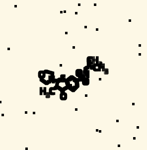 CC(C(=O)c1ccc(S(=O)(=O)/N=C/N(C)C)cc1)C(=S)N1CCOCC1